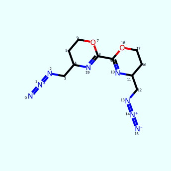 [N-]=[N+]=NCC1CCOC(C2=NC(CN=[N+]=[N-])CCO2)=N1